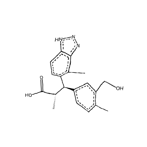 Cc1ccc([C@H](c2ccc3[nH]nnc3c2C)[C@H](C)C(=O)O)cc1CO